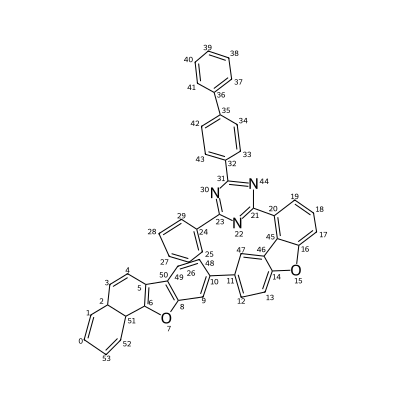 C1=CC2C=Cc3c(oc4cc(-c5ccc6oc7cccc(-c8nc(-c9ccccc9)nc(-c9ccc(-c%10ccccc%10)cc9)n8)c7c6c5)ccc34)C2C=C1